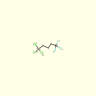 FC(F)(F)CCC[Si](Cl)(Cl)Cl